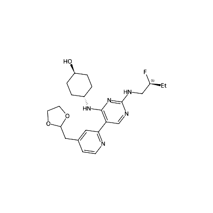 CC[C@H](F)CNc1ncc(-c2cc(CC3OCCO3)ccn2)c(N[C@H]2CC[C@H](O)CC2)n1